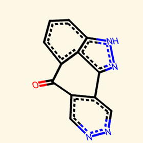 O=C1c2cnncc2-c2n[nH]c3cccc1c23